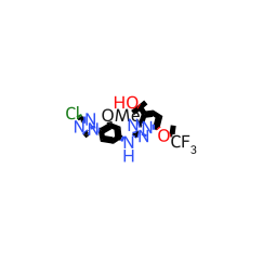 COc1cc(Nc2nc3c(C(C)(C)O)ccc(OC(C)C(F)(F)F)n3n2)ccc1-n1cnc(Cl)n1